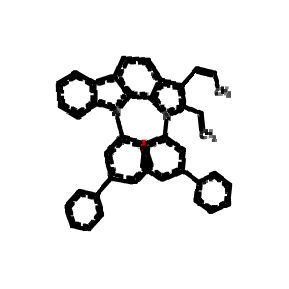 C=Cc1c(/C=C\C)c2ccc3c4ccccc4n(-c4cccc(-c5ccccc5)c4)c3c2n1-c1cccc(-c2ccccc2)c1